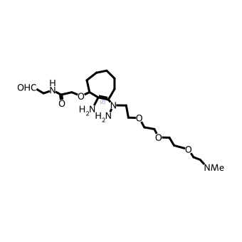 CNCCOCCOCCOCCN(N)/C1=C(\N)C(OCC(=O)NCC=O)CCCCC1